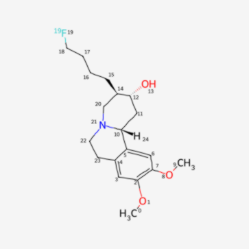 COc1cc2c(cc1OC)[C@H]1C[C@@H](O)[C@H](CCCC[19F])CN1CC2